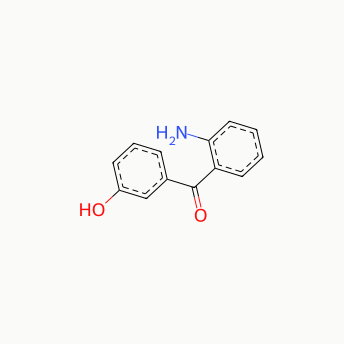 Nc1ccccc1C(=O)c1cccc(O)c1